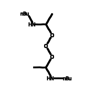 CCCCNC(C)OOOC(C)NCCCC